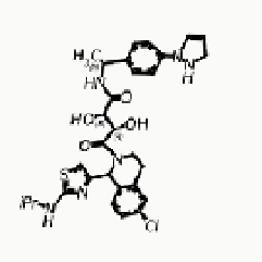 CC(C)Nc1nc(C2c3ccc(Cl)cc3CCN2C(=O)[C@H](O)[C@@H](O)C(=O)N[C@H](C)c2ccc(N3C=CCN3)cc2)cs1